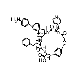 Nc1ccc(-c2ccc(C[C@H]3NC(=O)[C@H](Cc4ccncc4)NC(=O)COc4ccc(cc4)C[C@@H](C(=O)O)NC(=O)[C@H](CCc4ccccc4)NC3=O)cc2)cc1